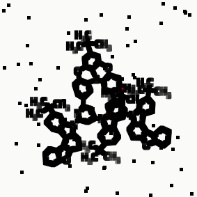 CC(C)(C)c1cc2c3c(c1)Oc1ccc(-c4cc(-n5c6cc(C(C)(C)C)ccc6c6ccc(C(C)(C)C)cc65)cc(-n5c6cc(C(C)(C)C)ccc6c6c7c(ccc65)oc5ccccc57)n4)cc1B3c1cc(-c3cccc(-n4c5cc(C(C)(C)C)ccc5c5c6c(ccc54)oc4ccccc46)n3)ccc1O2